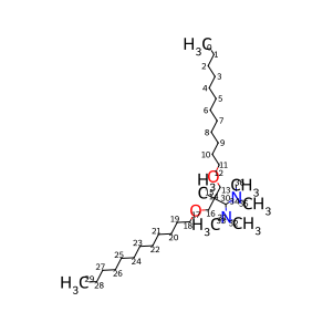 CCCCCCCCCCCCOCC(C)(COCCCCCCCCCCCC)C(N(C)C)N(C)C